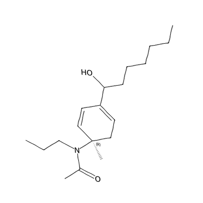 CCCCCCC(O)C1=CC[C@@](C)(N(CCC)C(C)=O)C=C1